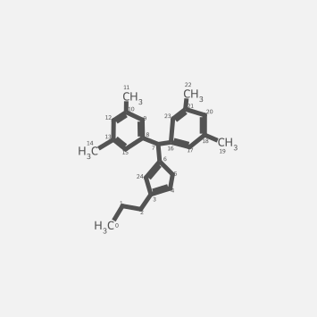 CCCC1=CCC(C(c2cc(C)cc(C)c2)c2cc(C)cc(C)c2)=C1